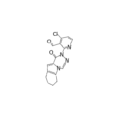 O=Cc1c(Cl)ccnc1-n1ncn2c3c(cc2c1=O)CCCC3